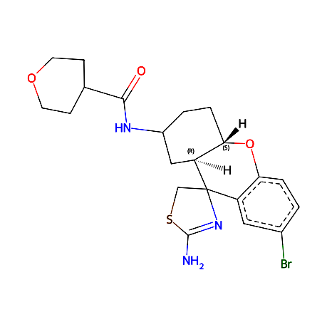 NC1=NC2(CS1)c1cc(Br)ccc1O[C@H]1CCC(NC(=O)C3CCOCC3)C[C@@H]12